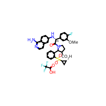 COc1cc([C@@H](Nc2ccc3c(N)nccc3c2)C(=O)N2CCC(C(=O)O)C2c2ccccc2S(=O)(=O)C2CC2)ccc1F.O=C(O)C(F)(F)F